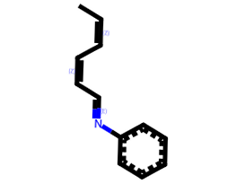 C\C=C/C=C\C=N\c1ccccc1